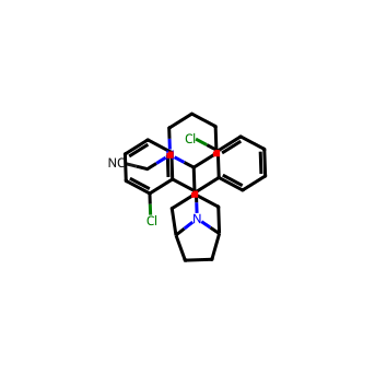 N#CCN1CCCCC1C1CC2CCC(C1)N2C(c1ccccc1Cl)c1ccccc1Cl